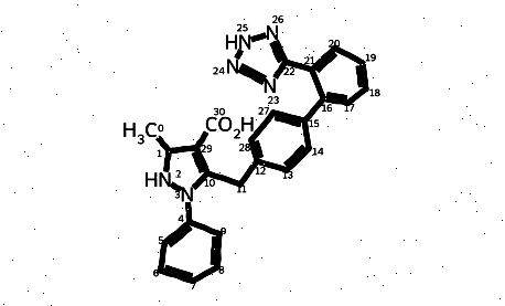 CC1NN(c2ccccc2)C(Cc2ccc(-c3ccccc3-c3nn[nH]n3)cc2)=C1C(=O)O